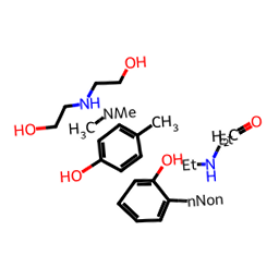 C=O.CCCCCCCCCc1ccccc1O.CCNCC.CNC.Cc1ccc(O)cc1.OCCNCCO